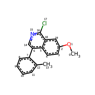 COc1ccc2c(-c3ccccc3C)cnc(Cl)c2c1